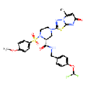 CC(C)c1cc(=O)nc2sc(N3CCN(S(=O)(=O)c4ccc(OC(F)(F)F)cc4)[C@@H](C(=O)NCc4ccc(OC(F)F)cc4)C3)nn12